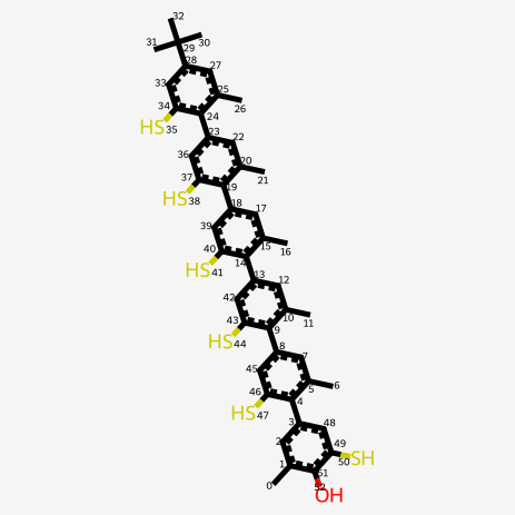 Cc1cc(-c2c(C)cc(-c3c(C)cc(-c4c(C)cc(-c5c(C)cc(-c6c(C)cc(C(C)(C)C)cc6S)cc5S)cc4S)cc3S)cc2S)cc(S)c1O